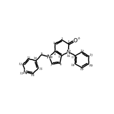 O=c1ccc2c(ccn2Cc2ccncc2)n1-c1ccccc1